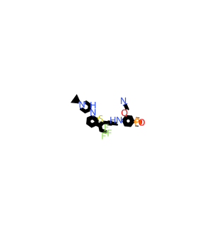 CP(C)(=O)c1ccc(NCC#Cc2sc3c(NC4CCN(C5CC5)CC4)cccc3c2CC(F)(F)F)c(OCC#N)c1